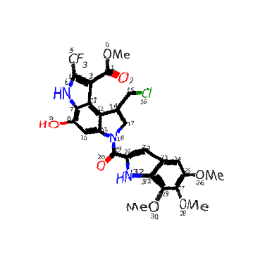 COC(=O)c1c(C(F)(F)F)[nH]c2c(O)cc3c(c12)C(CCl)CN3C(=O)c1cc2cc(OC)c(OC)c(OC)c2[nH]1